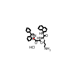 Cl.NCCCC[C@H](NC(=O)C1OC1C(=O)NCC(c1ccccc1)c1ccccc1)C(=O)Nc1cccc2ccccc12